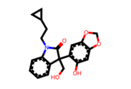 O=C1N(CCC2CC2)c2ccccc2C1(CO)c1cc2c(cc1O)OCO2